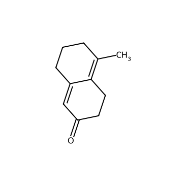 CC1=C2CCC(=O)C=C2CCC1